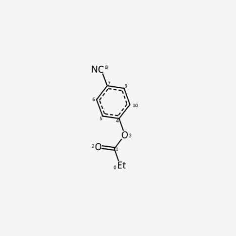 CCC(=O)Oc1ccc(C#N)cc1